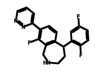 Fc1ccc(F)c(C2CCNCc3c2ccc(-c2cccnn2)c3F)c1